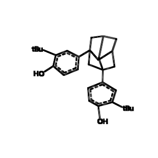 CC(C)(C)c1cc(C23CC4CC(C2)CC(c2ccc(O)c(C(C)(C)C)c2)(C4)C3)ccc1O